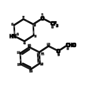 FC(F)(F)OC1CCNCC1.O=COCc1ccccc1